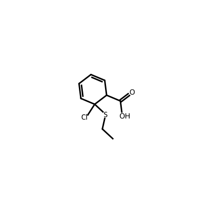 CCSC1(Cl)C=CC=CC1C(=O)O